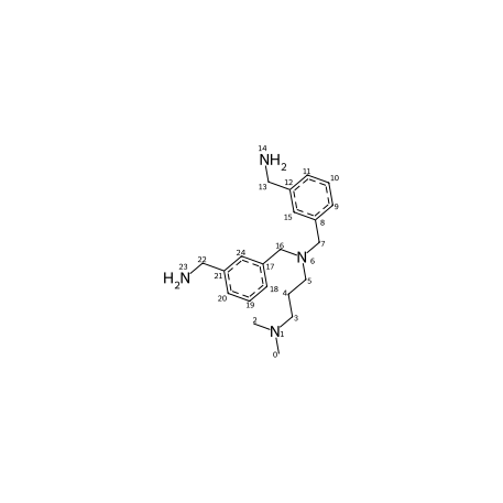 CN(C)CCCN(Cc1cccc(CN)c1)Cc1cccc(CN)c1